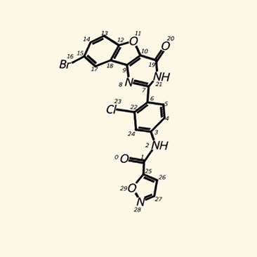 O=C(Nc1ccc(-c2nc3c(oc4ccc(Br)cc43)c(=O)[nH]2)c(Cl)c1)c1ccno1